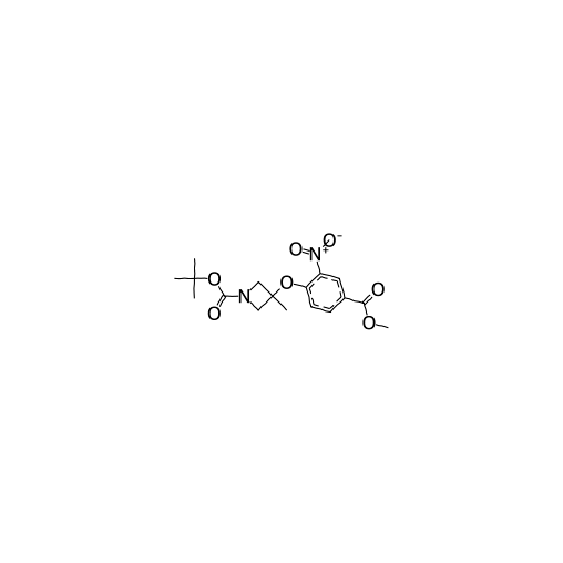 COC(=O)c1ccc(OC2(C)CN(C(=O)OC(C)(C)C)C2)c([N+](=O)[O-])c1